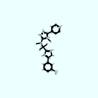 CN(c1nnc(-c2ccncc2)n1C)C(C)(C)C1=NCC(c2cccc(Cl)c2)=N1